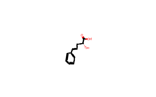 O=C(O)[C@H](O)CC=Cc1ccccc1